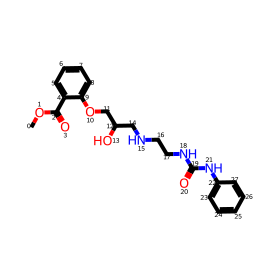 COC(=O)c1ccccc1OCC(O)CNCCNC(=O)Nc1ccccc1